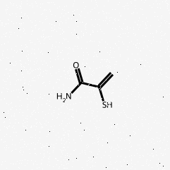 C=C(S)C(N)=O